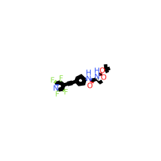 CC[C@H](NC(=O)OC(C)(C)C)C(=O)Nc1ccc(C#Cc2c(F)c(F)nc(F)c2F)cc1